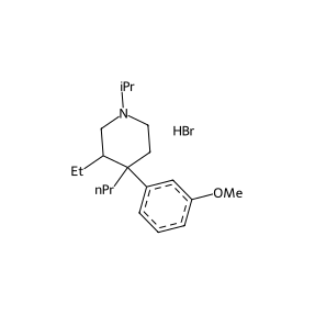 Br.CCCC1(c2cccc(OC)c2)CCN(C(C)C)CC1CC